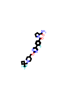 NC(=O)C1CCCN1C(=O)c1ccc(-c2cnc(OCC3CCN(CC4(C(F)(F)F)CCC4)CC3)nc2)c(F)c1